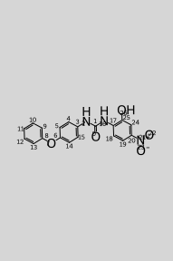 O=C(Nc1ccc(Oc2ccccc2)cc1)Nc1ccc([N+](=O)[O-])cc1O